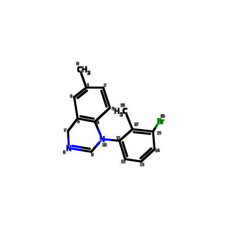 Cc1ccc2c(c1)CN=CN2c1cccc(Br)c1C